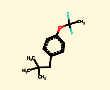 CC(C)(C)Cc1ccc(OC(C)(F)F)cc1